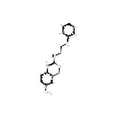 Nc1ccc2c(c1)COC(NCCOc1ccccc1)=N2